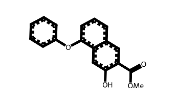 COC(=O)c1cc2cccc(Oc3ccccc3)c2cc1O